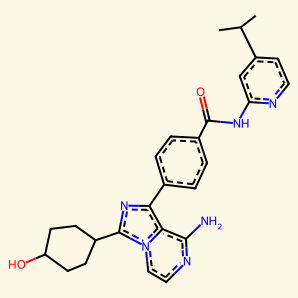 CC(C)c1ccnc(NC(=O)c2ccc(-c3nc(C4CCC(O)CC4)n4ccnc(N)c34)cc2)c1